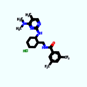 Cc1cnc(NC2CCCCC2CNC(=O)c2cc(C(F)(F)F)cc(C(F)(F)F)c2)nc1N(C)C.Cl